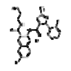 CSCCNC(=O)c1cc2cc(Br)ccc2c(Br)c1NC(=O)c1cc(C(F)(F)F)nn1-c1ncccc1Cl